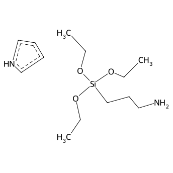 CCO[Si](CCCN)(OCC)OCC.c1cc[nH]c1